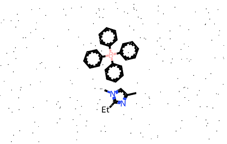 CCc1nc(C)cn1C.c1ccc([B-](c2ccccc2)(c2ccccc2)c2ccccc2)cc1